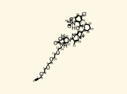 C#CCOCCOCCOCCOCCN1C(=O)O[C@H]2CN(c3nc4cc([C@@H]5CCCCN5C(=O)c5cc(Cl)ccc5NS(C)(=O)=O)nn4cc3C)C[C@H]21